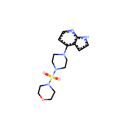 O=S(=O)(N1CCOCC1)N1CCN(c2ccnc3[nH]ccc23)CC1